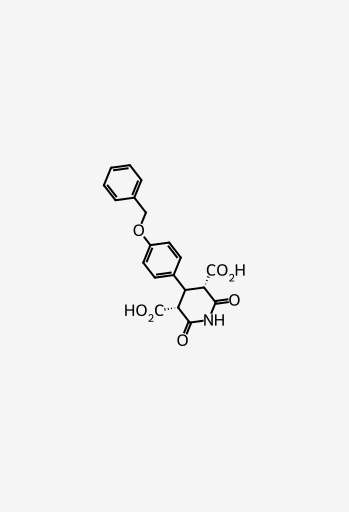 O=C(O)[C@@H]1C(=O)NC(=O)[C@H](C(=O)O)C1c1ccc(OCc2ccccc2)cc1